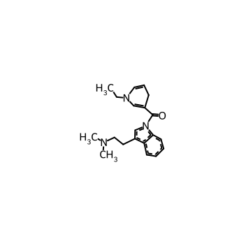 CCN1C=CCC(C(=O)n2cc(CCN(C)C)c3ccccc32)=C1